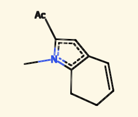 CC(=O)c1cc2c(n1C)CCC=C2